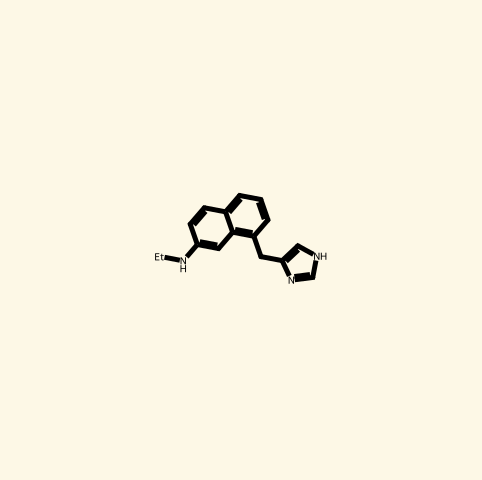 CCNc1ccc2cccc(Cc3c[nH]cn3)c2c1